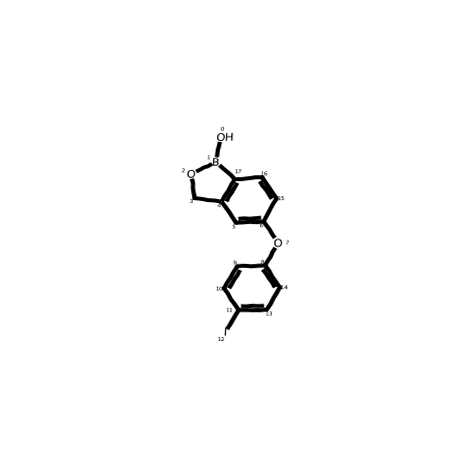 OB1OCc2cc(Oc3ccc(I)cc3)ccc21